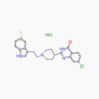 Cl.O=c1[nH]c(C2CCN(CCc3c[nH]c4ccc(F)cc34)CC2)nc2cc(Cl)ccc12